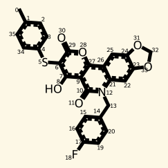 Cc1ccc(Sc2c(O)c3c(=O)n(Cc4ccc(F)cc4)c4cc5c(cc4c3oc2=O)OCO5)cc1